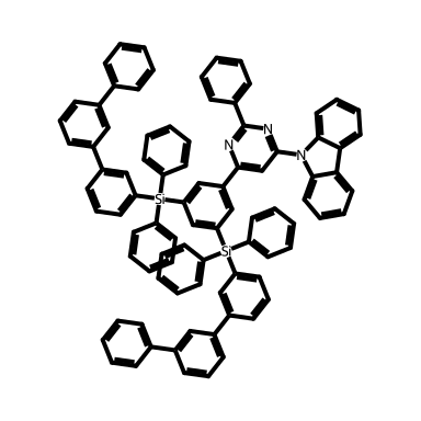 c1ccc(-c2cccc(-c3cccc([Si](c4ccccc4)(c4ccccc4)c4cc(-c5cc(-n6c7ccccc7c7ccccc76)nc(-c6ccccc6)n5)cc([Si](c5ccccc5)(c5ccccc5)c5cccc(-c6cccc(-c7ccccc7)c6)c5)c4)c3)c2)cc1